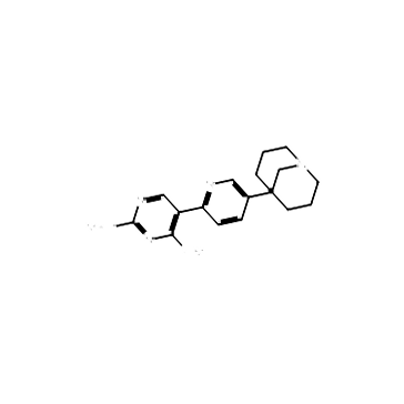 COc1ncc(-c2ccc(C34CCCN(CCC3)C4)cn2)c(OC)n1